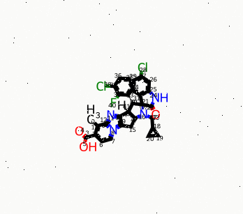 Cc1c(C(=O)O)ccn2c3c(nc12)[C@@H]1C(C3)N(CC2CC2)[C@@]2(C(=O)Nc3cc(Cl)ccc32)[C@H]1c1cccc(Cl)c1F